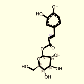 O=C(/C=C/c1ccc(O)c(O)c1)O[C@@H]1O[C@H](CO)[C@@H](O)[C@H](O)[C@H]1O